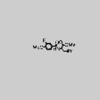 COC(=O)[C@@H](CC(C)C)NC(=O)c1ccc(OC)c(F)c1